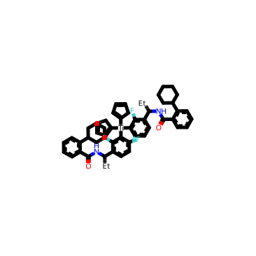 CCC(NC(=O)c1ccccc1C1CCCCC1)c1ccc(F)[c]([Ti]([C]2=CC=CC2)([C]2=CC=CC2)[c]2c(F)ccc(C(CC)NC(=O)c3ccccc3C3CCCCC3)c2F)c1F